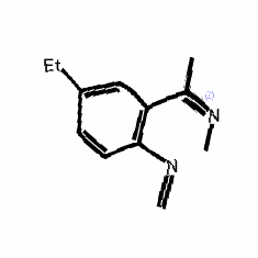 C=Nc1ccc(CC)cc1/C(C)=N\C